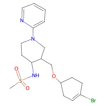 CS(=O)(=O)NC1CCN(c2ccccn2)CC1COC1CC=C(Br)CC1